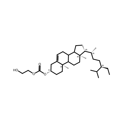 CC[C@H](CC[C@@H](C)[C@H]1CCC2C3CC=C4C[C@@H](OC(=O)OCCO)CC[C@]4(C)C3CC[C@@]21C)C(C)C